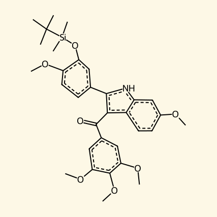 COc1ccc2c(C(=O)c3cc(OC)c(OC)c(OC)c3)c(-c3ccc(OC)c(O[Si](C)(C)C(C)(C)C)c3)[nH]c2c1